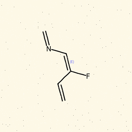 C=C/C(F)=C\N=C